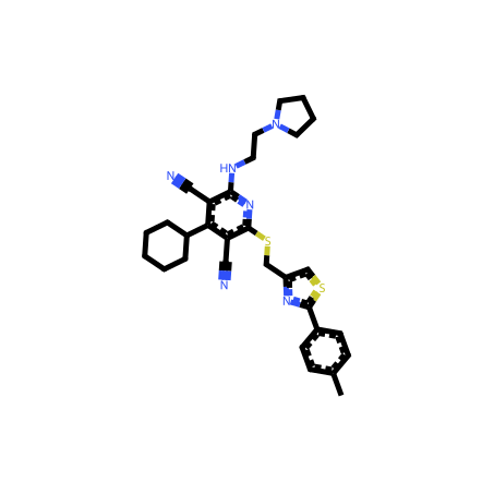 Cc1ccc(-c2nc(CSc3nc(NCCN4CCCC4)c(C#N)c(C4CCCCC4)c3C#N)cs2)cc1